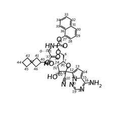 C[C@H](NP(=O)(OC[C@H]1OC(C#N)(c2ccc3c(N)ncnn23)[C@H](O)[C@@H]1O)Oc1cccc2ccccc12)C(=O)OC1CC2(CCC2)C1